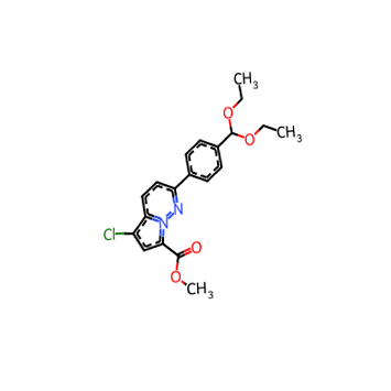 CCOC(OCC)c1ccc(-c2ccc3c(Cl)cc(C(=O)OC)n3n2)cc1